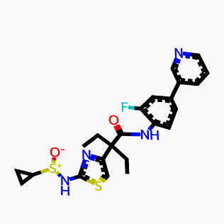 CCC(CC)(C(=O)Nc1ccc(-c2cccnc2)cc1F)c1csc(N[S+]([O-])C2CC2)n1